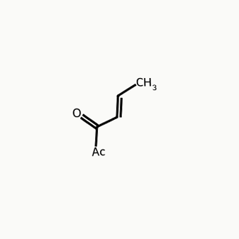 CC=CC(=O)C(C)=O